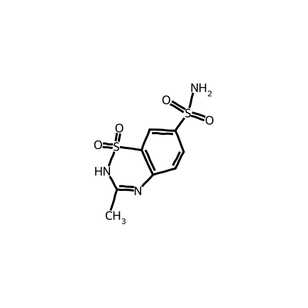 CC1=Nc2ccc(S(N)(=O)=O)cc2S(=O)(=O)N1